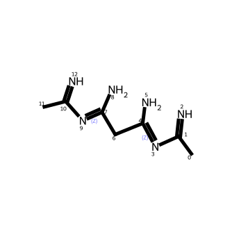 CC(=N)/N=C(\N)C/C(N)=N/C(C)=N